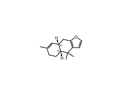 CC1=C[C@@H]2Cc3occc3C(C)(C)[C@@H]2CC1